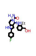 CCc1c(CO)cccc1NC1c2cc(-c3ccc(F)cc3)[nH]c2C=CN1C(N)=O